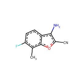 Cc1c(F)ccc2c(N)c(C#N)oc12